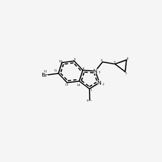 [CH2]c1nn(CC2CC2)c2ccc(Br)cc12